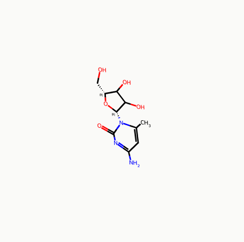 Cc1cc(N)nc(=O)n1[C@@H]1O[C@H](CO)C(O)C1O